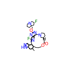 Cc1cc2[nH]ncc2c2c1CCCOC(=O)C[C@H]1CCCN(C1)c1nc(OC[C@@]34CCCN3C[C@H](F)C4)nc3c(F)c-2ncc13